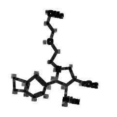 CCCCCCCCC1CN(CCOCCOC)C(c2ccc3c(c2)CC3)C1CCCCCC